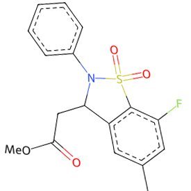 COC(=O)CC1c2cc(C)cc(F)c2S(=O)(=O)N1c1ccccc1